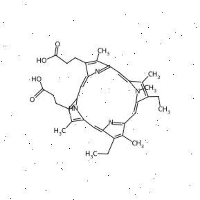 CCC1=C(C)c2cc3c(CC)c(C)c(cc4nc(cc5[nH]c(cc1n2)c(C)c5CCC(=O)O)C(CCC(=O)O)=C4C)n3C